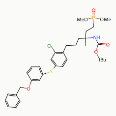 COP(=O)(CCC(C)(CCCc1ccc(Sc2cccc(OCc3ccccc3)c2)cc1Cl)NC(=O)OC(C)(C)C)OC